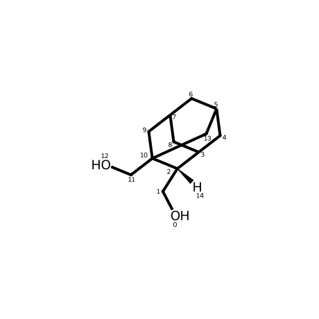 OC[C@H]1C2CC3CC(C2)CC1(CO)C3